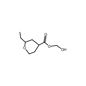 CCC1CC(C(=O)OCO)CCO1